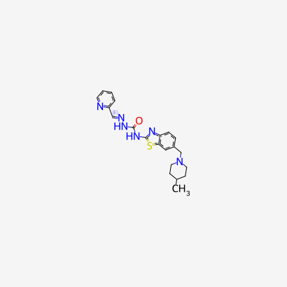 CC1CCN(Cc2ccc3nc(NC(=O)N/N=C/c4ccccn4)sc3c2)CC1